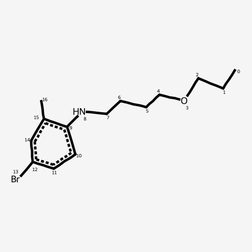 CCCOCCCCNc1ccc(Br)cc1C